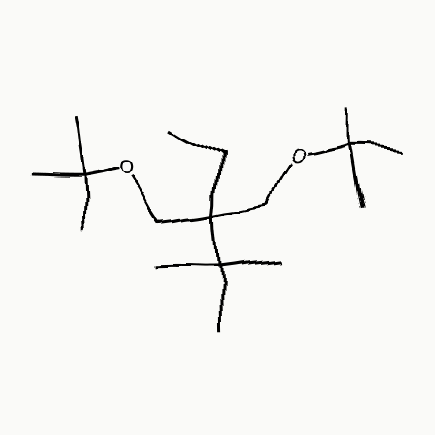 CCC(COC(C)(C)C)(COC(C)(C)C)C(C)(C)C